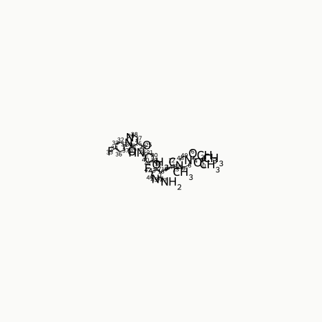 CC(C)(C)OC(=O)N1CCN(C(C)(C)C#Cc2c(Oc3ccc(NC(=O)c4ccnn(-c5ccc(F)cc5)c4=O)cc3F)ccnc2N)CC1